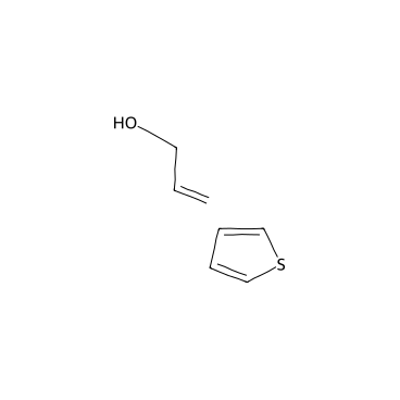 C=CCO.c1ccsc1